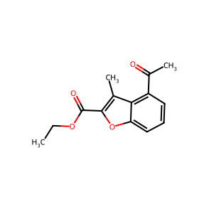 CCOC(=O)c1oc2cccc(C(C)=O)c2c1C